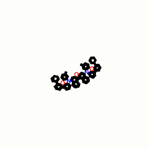 Cc1cccc(N(c2cc3oc4cc(N(c5cccc(C)c5)c5cccc6c5oc5c(C7CCCCC7)cccc56)c5ccccc5c4c3c3ccccc23)c2cccc3c2oc2c(C4CCCCC4)cccc23)c1